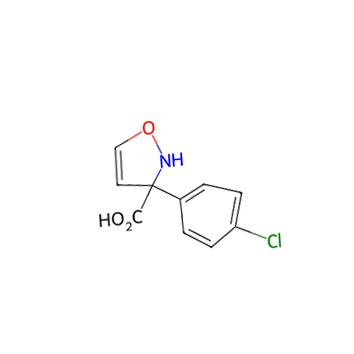 O=C(O)C1(c2ccc(Cl)cc2)C=CON1